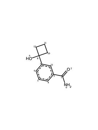 NC(=O)c1cccc(C2(O)CCC2)c1